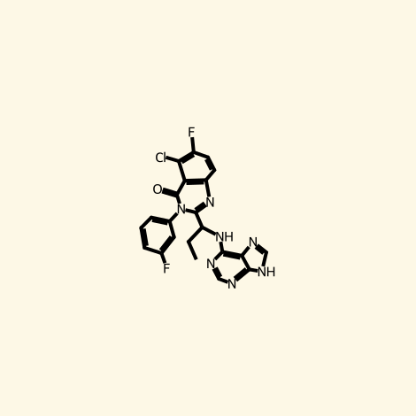 CCC(Nc1ncnc2[nH]cnc12)c1nc2ccc(F)c(Cl)c2c(=O)n1-c1cccc(F)c1